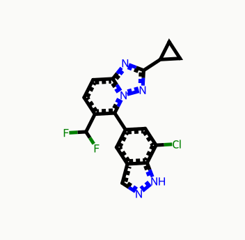 FC(F)c1ccc2nc(C3CC3)nn2c1-c1cc(Cl)c2[nH]ncc2c1